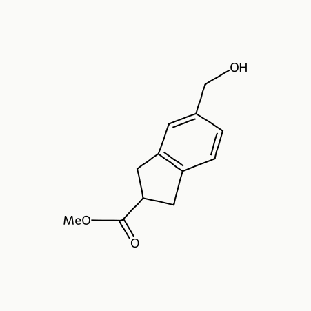 COC(=O)C1Cc2ccc(CO)cc2C1